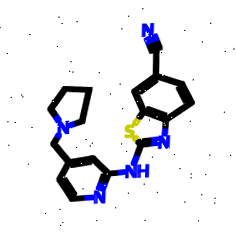 N#Cc1ccc2nc(Nc3cc(CN4CCCC4)ccn3)sc2c1